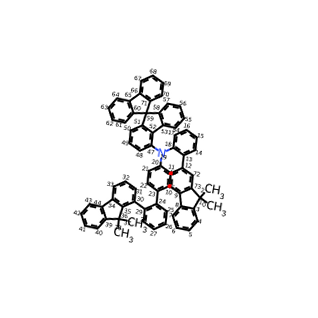 CC1(C)c2ccccc2-c2ccc(-c3ccccc3N(c3ccc(-c4ccccc4-c4cccc5c4C(C)(C)c4ccccc4-5)cc3)c3cccc4c3-c3ccccc3C43c4ccccc4-c4ccccc43)cc21